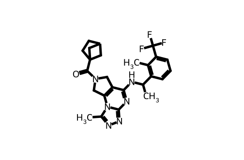 Cc1c(C(C)Nc2nc3nnc(C)n3c3c2CN(C(=O)C24CCC(C2)C4)C3)cccc1C(F)(F)F